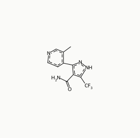 Cc1cnccc1-c1n[nH]c(C(F)(F)F)c1C(N)=O